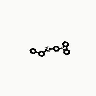 c1ccc(-c2cccc(-c3noc(-c4ccc(-n5c6ccccc6c6ccccc65)cc4)n3)c2)cc1